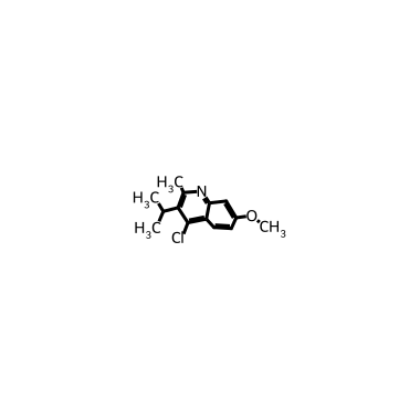 COc1ccc2c(Cl)c(C(C)C)c(C)nc2c1